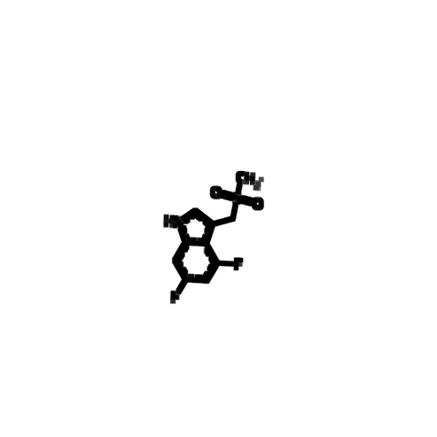 [CH2]S(=O)(=O)Cc1c[nH]c2cc(F)cc(F)c12